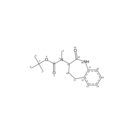 CN(C(=O)OC(C)(C)C)C1CCc2ccccc2NC1=O